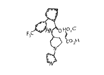 O=C(NC1CCN(Cc2cccnc2)CC1)c1ccccc1-c1ccc(C(F)(F)F)cc1.O=C(O)C=CC(=O)O